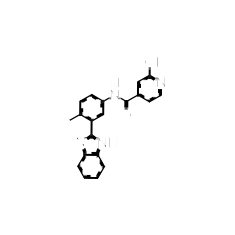 Cc1ccc(NC(=O)c2ccnc(O)c2)cc1-c1nc2ccccc2[nH]1